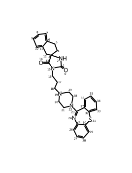 O=C1NC2(CCc3ccccc3C2)C(=O)N1CCCN1CCN(C2=Nc3ccccc3Sc3ccccc32)CC1